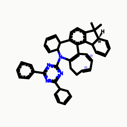 CC1(C)c2ccc3c(c2C2C=CC=C[C@@H]21)C1=C(CC/C=C/C=C\1)N(c1nc(-c2ccccc2)nc(C2C=CC=CC2)n1)C1C=CC=CC31